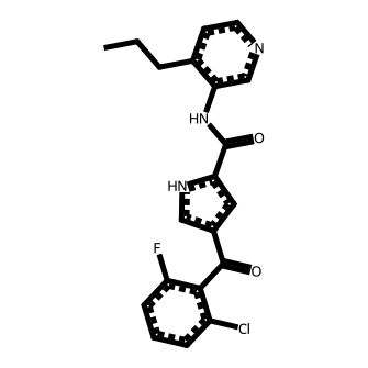 CCCc1ccncc1NC(=O)c1cc(C(=O)c2c(F)cccc2Cl)c[nH]1